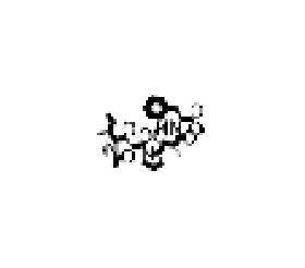 CC[C@H](C)[C@@H]([C@@H](CC(=O)N1CCC[C@H]1[C@H](OC)[C@@H](C)C(=O)N[C@@H](Cc1ccccc1)C(=O)OC)OC)N(C)C(C)=O